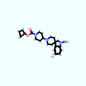 CC(=O)N1CC2(CCN(C3CCN(C(=O)OC4CCC4)CC3)CC2)c2cc(F)ccc21